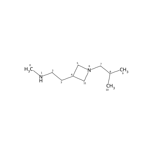 CNCCC1CN(CC(C)C)C1